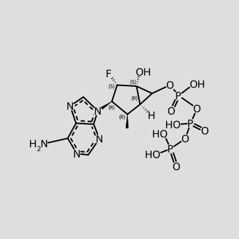 C[C@H]1[C@@H](n2cnc3c(N)ncnc32)[C@H](F)[C@@]2(O)C(OP(=O)(O)OP(=O)(O)OP(=O)(O)O)[C@@H]12